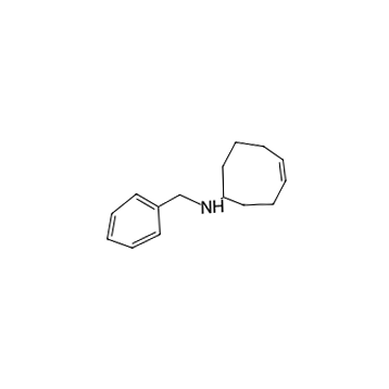 C1=C\CCC(NCc2ccccc2)CCC/1